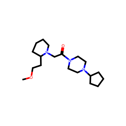 COCCC1CCCCN1CC(=O)N1CCN(C2CCCC2)CC1